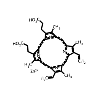 C=CC1=C(C)c2cc3[n-]c(cc4[n-]c(cc5nc(cc1n2)C(C)=C5C=C)c(C)c4CCC(=O)O)c(CCC(=O)O)c3C.[Zn+2]